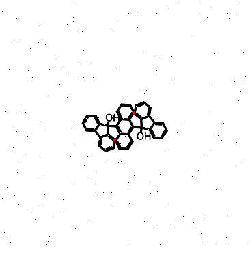 OC1(c2c3ccccc3c(C3(O)c4ccccc4-c4ccccc43)c3ccccc23)c2ccccc2-c2ccccc21